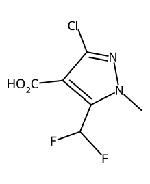 Cn1nc(Cl)c(C(=O)O)c1C(F)F